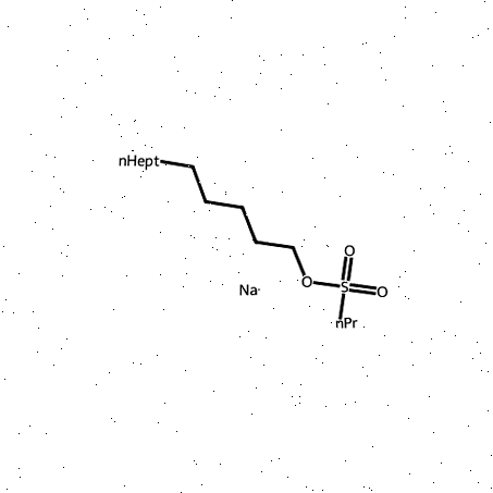 CCCCCCCCCCCCOS(=O)(=O)CCC.[Na]